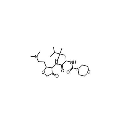 CC(C)C(C)(C)C[C@H](NC(=O)N1CCOCC1)C(=O)NC1C(=O)COC1CCN(C)C